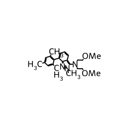 COCCN(CCOC)c1c2cccc(-c3c(C)cc(C)cc3C)c2nn1C